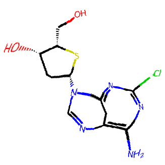 Nc1nc(Cl)nc2c1ncn2[C@@H]1C[C@H](O)[C@H](CO)S1